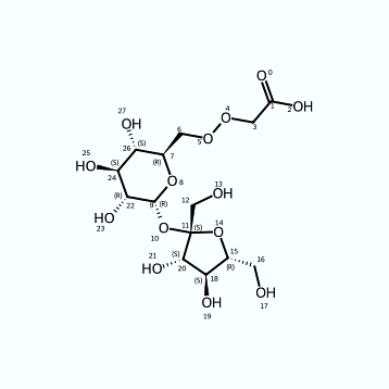 O=C(O)COOC[C@H]1O[C@H](O[C@]2(CO)O[C@H](CO)[C@@H](O)[C@@H]2O)[C@H](O)[C@@H](O)[C@@H]1O